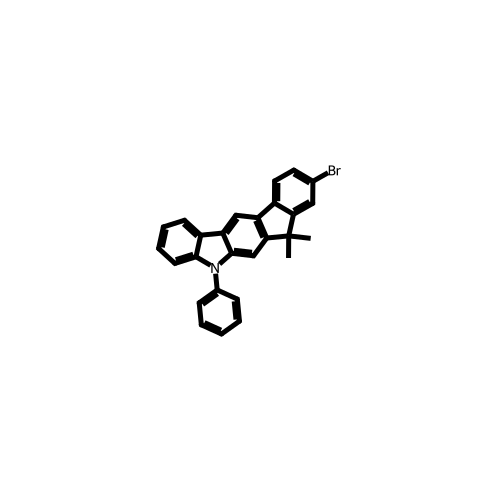 CC1(C)c2cc(Br)ccc2-c2cc3c4ccccc4n(-c4ccccc4)c3cc21